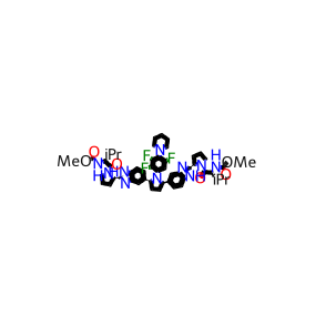 COC(=O)N[C@H](C(=O)N1CCC[C@H]1c1nc2cc([C@H]3CC[C@H](c4ccc5[nH]c([C@@H]6CCCN6C(=O)[C@@H](NC(=O)OC)C(C)C)nc5c4)N3c3cc(F)c(N4CCCCC4)c(F)c3F)ccc2[nH]1)C(C)C